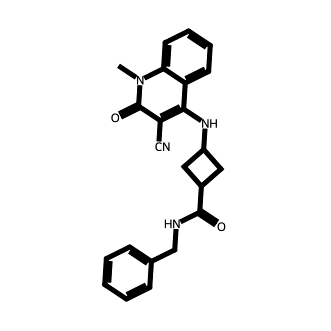 Cn1c(=O)c(C#N)c(NC2CC(C(=O)NCc3ccccc3)C2)c2ccccc21